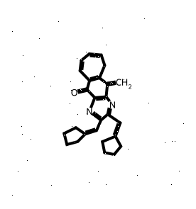 C=C1C2=C(C=CC=CC2)C(=O)c2nc(C=C3CCCC3)c(C=C3CCCC3)nc21